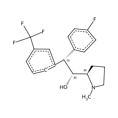 CN1CCC[C@@H]1[C@H](O)[C@@H](c1ccc(F)cc1)c1cccc(C(F)(F)F)c1